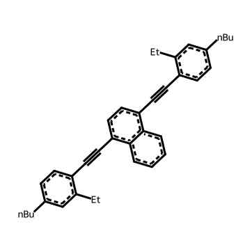 CCCCc1ccc(C#Cc2ccc(C#Cc3ccc(CCCC)cc3CC)c3ccccc23)c(CC)c1